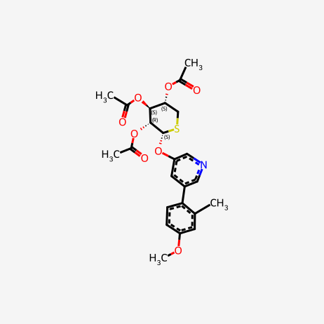 COc1ccc(-c2cncc(O[C@H]3SC[C@@H](OC(C)=O)[C@H](OC(C)=O)[C@H]3OC(C)=O)c2)c(C)c1